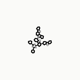 c1ccc(-c2nc(-c3ccccc3)nc(-c3ccc(-c4ccc5c(c4)oc4ccccc45)c4oc5c(-n6c7ccccc7c7c8sc9ccccc9c8ccc76)cccc5c34)n2)cc1